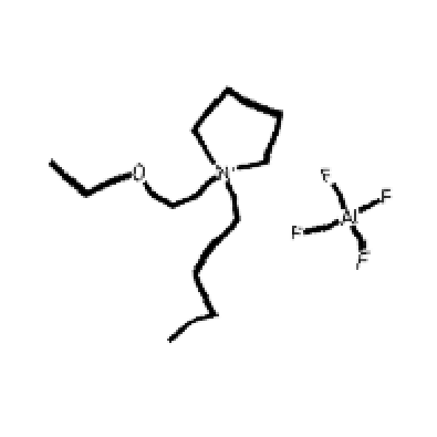 CCCC[N+]1(COCC)CCCC1.[F][Al-]([F])([F])[F]